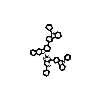 c1ccc(-c2cc3nc(-n4c5ccc(-c6ccc7c(c6)c6ccccc6n7-c6ccccc6)cc5c5cc6ccccc6cc54)nc(-c4ccc5c(c4)c4ccccc4n5-c4ccccc4)c3s2)cc1